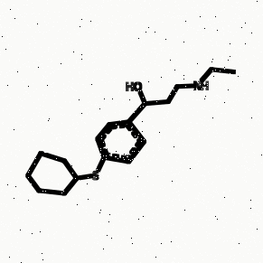 CCNCCC(O)c1ccc(SC2CCCCC2)cc1